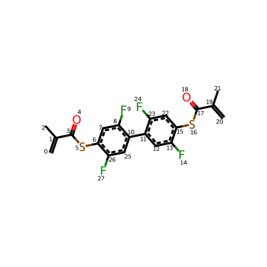 C=C(C)C(=O)Sc1cc(F)c(-c2cc(F)c(SC(=O)C(=C)C)cc2F)cc1F